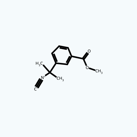 [C-]#[N+]C(C)(C)c1cccc(C(=O)OC)c1